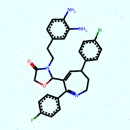 Nc1ccc(CCN2C(=O)COC2C2=CC(c3ccc(Br)cc3)CCN=C2c2ccc(F)cc2)cc1N